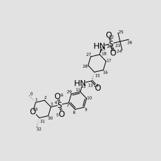 C[C@@H]1CC(S(=O)(=O)c2cccc(NC(=O)[C@H]3CC[C@H](NS(=O)(=O)C(C)(C)C)CC3)c2)C[C@H](C)O1